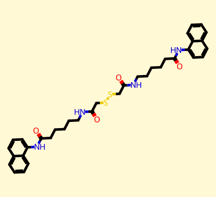 O=C(CSSCC(=O)NCCCCCC(=O)Nc1cccc2ccccc12)NCCCCCC(=O)Nc1cccc2ccccc12